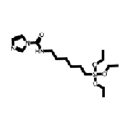 CCO[Si](CCCCCCNC(=O)n1ccnc1)(OCC)OCC